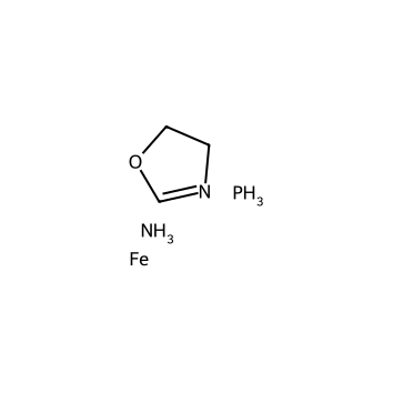 C1=NCCO1.N.P.[Fe]